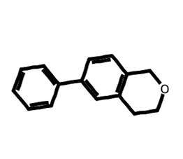 c1ccc(-c2ccc3c(c2)CCOC3)cc1